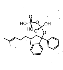 CC(C)=CCCC(C)CC(OP(=O)(O)OP(=O)(O)O)(c1ccccc1)c1ccccc1